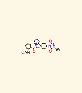 COc1ccccc1C(=O)NC[C@]1(c2ccccc2)CC[C@H](N2C(=O)N=C(C(C)C)C2=O)CC1